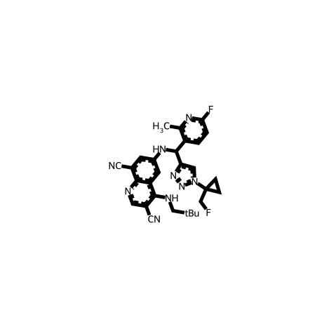 Cc1nc(F)ccc1C(Nc1cc(C#N)c2ncc(C#N)c(NCC(C)(C)C)c2c1)c1cn(C2(CF)CC2)nn1